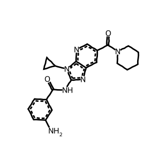 Nc1cccc(C(=O)Nc2nc3cc(C(=O)N4CCCCC4)cnc3n2C2CC2)c1